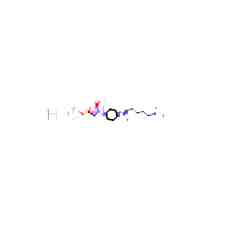 COC[C@@H]1CN(c2ccc3nc(CCCCC#N)sc3c2)C(=O)O1